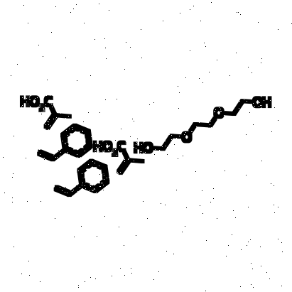 C=C(C)C(=O)O.C=C(C)C(=O)O.C=Cc1ccccc1.C=Cc1ccccc1.OCCOCCOCCO